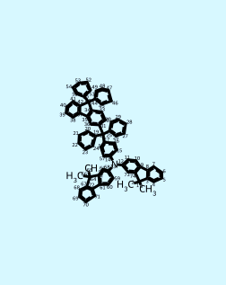 CC1(C)c2ccccc2-c2ccc(N(c3ccc(C(c4ccccc4)(c4ccccc4)c4ccc5c(c4)-c4ccccc4C5(c4ccccc4)c4ccccc4)cc3)c3ccc4c(c3)C(C)(C)c3ccccc3-4)cc21